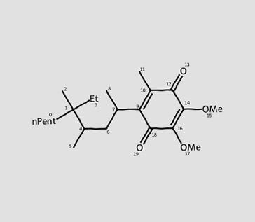 CCCCCC(C)(CC)C(C)CC(C)C1=C(C)C(=O)C(OC)=C(OC)C1=O